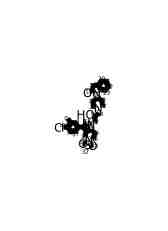 Cc1cc(-c2nn(CC(O)CN3CCC(N4C(=O)Cc5ccccc54)CC3)c3c2CN(S(C)(=O)=O)CC3)ccc1Cl